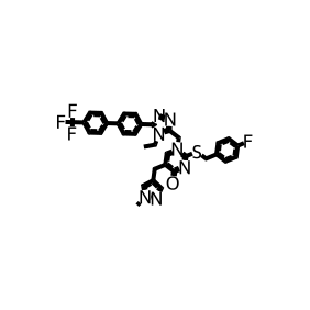 CCn1c(Cn2cc(Cc3cnn(C)c3)c(=O)nc2SCc2ccc(F)cc2)nnc1-c1ccc(-c2ccc(C(F)(F)F)cc2)cc1